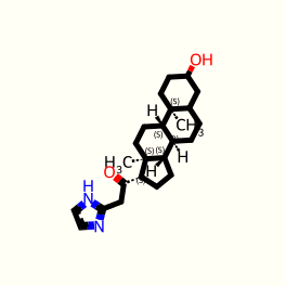 C[C@]12CC[C@H]3[C@@H](CCC4CC(O)CC[C@@]43C)[C@@H]1CC[C@@H]2C(=O)Cc1ncc[nH]1